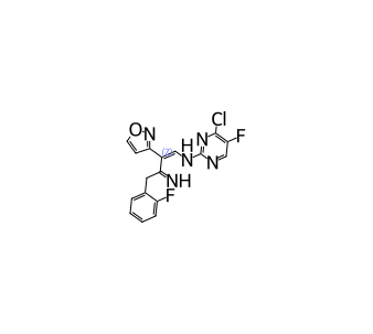 N=C(Cc1ccccc1F)/C(=C\Nc1ncc(F)c(Cl)n1)c1ccon1